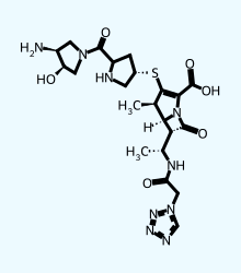 C[C@@H](NC(=O)Cn1cnnn1)[C@H]1C(=O)N2C(C(=O)O)=C(S[C@@H]3CNC(C(=O)N4C[C@@H](O)[C@@H](N)C4)C3)[C@H](C)[C@H]12